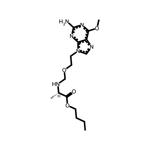 CCCCOC(=O)[C@H](C)NCOCCn1cnc2c(OC)nc(N)nc21